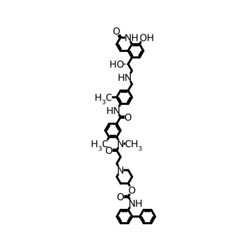 Cc1cc(CNC[C@H](O)c2ccc(O)c3[nH]c(=O)ccc23)ccc1NC(=O)c1ccc(C)c(N(C)C(=O)CCN2CCC(OC(=O)Nc3ccccc3-c3ccccc3)CC2)c1